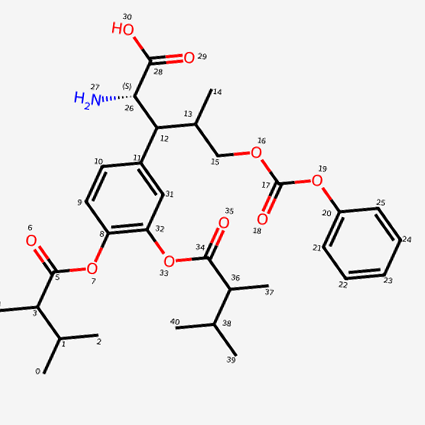 CC(C)C(C)C(=O)Oc1ccc(C(C(C)COC(=O)Oc2ccccc2)[C@H](N)C(=O)O)cc1OC(=O)C(C)C(C)C